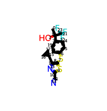 CC(O)(c1ccc(Sc2sc(C#N)nc2C2CC2)cc1)C(F)(F)F